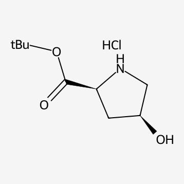 CC(C)(C)OC(=O)[C@@H]1C[C@H](O)CN1.Cl